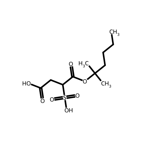 CCCCC(C)(C)OC(=O)C(CC(=O)O)S(=O)(=O)O